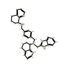 c1cnc2c(c1)CCCC2NCc1ccc(CN(Cc2nc3ccccc3[nH]2)C2CCCc3cccnc32)cc1